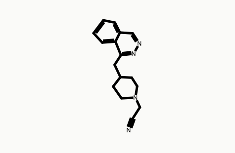 N#CCN1CCC(Cc2nncc3ccccc23)CC1